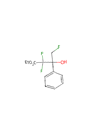 CCOC(=O)C(F)(F)C(O)(CF)c1ccccc1